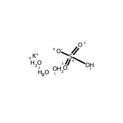 O.O.O.O=S(=O)([O-])O.[K+]